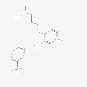 CN(C)CCCOc1ncc(Br)cc1NSc1cncc(C(F)(F)F)c1